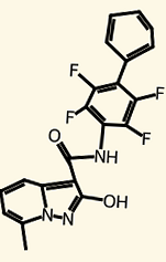 Cc1cccc2c(C(=O)Nc3c(F)c(F)c(-c4ccccc4)c(F)c3F)c(O)nn12